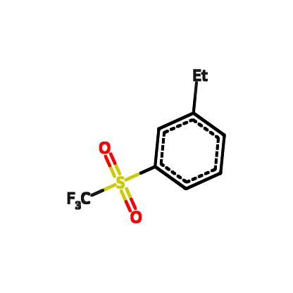 [CH2]Cc1cccc(S(=O)(=O)C(F)(F)F)c1